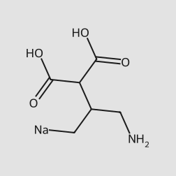 NCC([CH2][Na])C(C(=O)O)C(=O)O